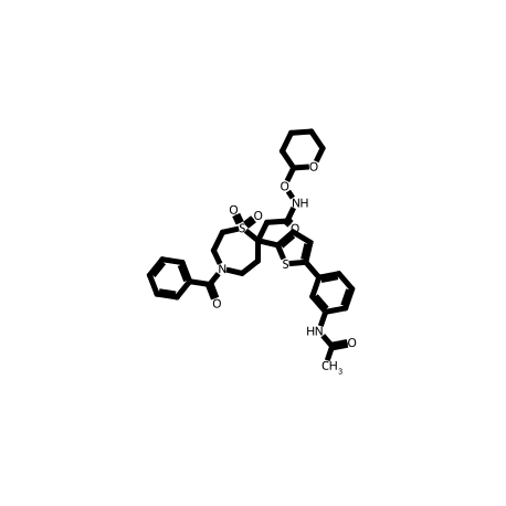 CC(=O)Nc1cccc(-c2ccc(C3(CC(=O)NOC4CCCCO4)CCN(C(=O)c4ccccc4)CCS3(=O)=O)s2)c1